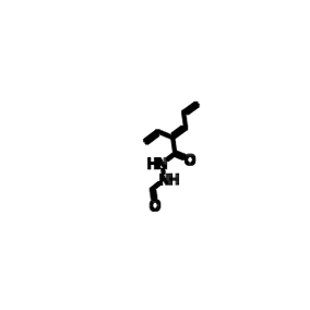 C=C/C=C(\C=C)C(=O)NNC=O